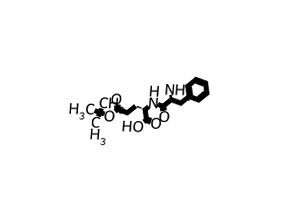 CC(C)(C)OC(=O)CC[C@H](NC(=O)[C@@H](N)Cc1ccccc1)C(=O)O